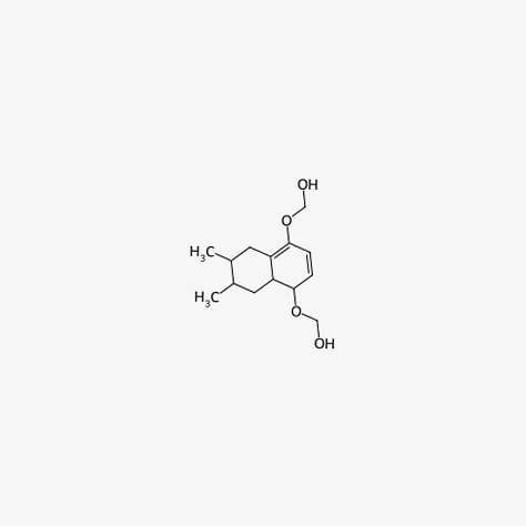 CC1CC2=C(OCO)C=CC(OCO)C2CC1C